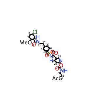 COc1ccc(Cl)cc1C(=O)NCCc1ccc(S(=O)(=O)NC(=O)c2ccc(OC(=O)NCCOC(C)=O)nc2)cc1